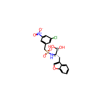 O=[N+]([O-])c1cc(Cl)cc(CS(=O)(=O)N[C@@H](Cc2coc3ccccc23)B(O)O)c1